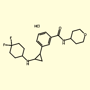 Cl.O=C(NC1CCOCC1)c1cccc(C2CC2NC2CCC(F)(F)CC2)c1